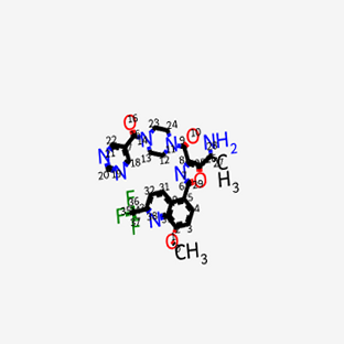 COc1ccc(-c2nc(C(=O)N3CCN(C(=O)c4cncnc4)CC3)c([C@H](C)N)o2)c2ccc(C(F)(F)F)nc12